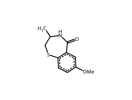 COc1ccc2c(c1)C(=O)NC(C)CS2